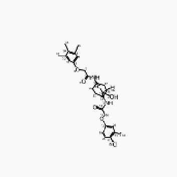 Cc1cc(OCC(=O)NC23CCC(NC(=O)COc4ccc(Cl)c(F)c4)(CC2)[C@@H](O)C3)cc(C)c1C